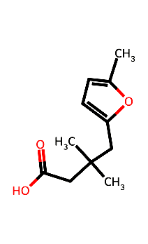 Cc1ccc(CC(C)(C)CC(=O)O)o1